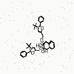 CC(C)(C)N1CC(COC2(O)Cc3ccccc3CC2(O)OCC2CN(C(C)(C)C)C(c3ccccc3)O2)OC1c1ccccc1